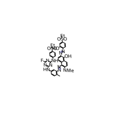 CCS(=O)(=O)c1ccc(Nc2nc(F)nc(Nc3ccc(C)c(/N=N/c4c(NC)ccc5c(O)c(/N=N/c6ccc(S(=O)(=O)CC)cc6O)ccc45)c3)n2)cc1